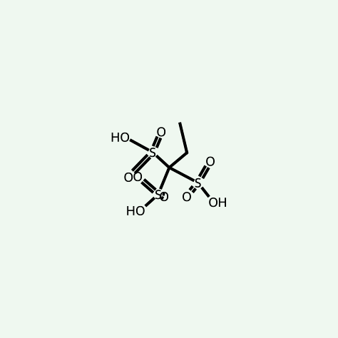 CCC(S(=O)(=O)O)(S(=O)(=O)O)S(=O)(=O)O